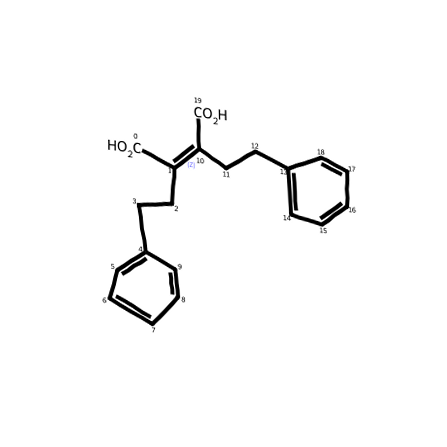 O=C(O)/C(CCc1ccccc1)=C(/CCc1ccccc1)C(=O)O